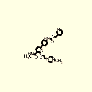 CNC(=O)c1ccc(-c2ccc(NC(=O)NCc3cccnc3)cc2)nc1NCCN1CCN(C)CC1